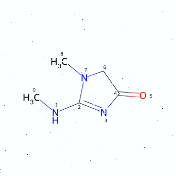 CNC1=NC(=O)CN1C